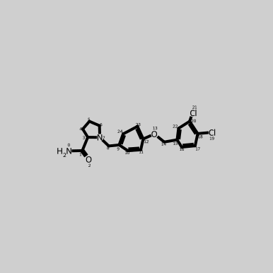 NC(=O)C1CCCN1Cc1ccc(OCc2ccc(Cl)c(Cl)c2)cc1